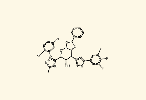 Cc1nc(C2OC3OC(c4ccccc4)OC3C(n3cc(-c4cc(F)c(F)c(F)c4)nn3)C2O)n(-c2cc(Cl)ccc2Cl)n1